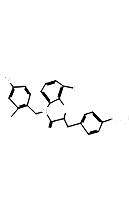 Cc1cc(N)ccc1CN1C(=O)C(Cc2ccc(C(=O)O)cc2)Sc2c(F)cccc21